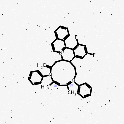 C=C1CC2C(CC/[N+](c3ccccc3)=C(C)\C=C(\C)N1c1ccccc1)c1cc(F)cc(F)c1-c1c3ccccc3cc[n+]12